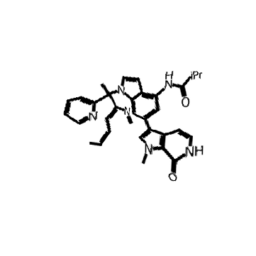 C=N/C(=C\C=C/C)C(C)(c1ccccn1)n1ccc2c(NC(=O)C(C)C)cc(-c3cn(C)c4c(=O)[nH]ccc34)cc21